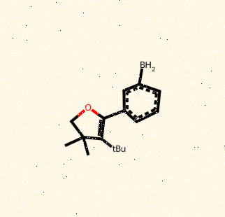 Bc1cccc(C2=C(C(C)(C)C)C(C)(C)CO2)c1